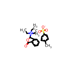 CC[N+](CC)(CC)C1OC(=O)c2ccccc21.Cc1ccc(S(=O)(=O)[O-])cc1